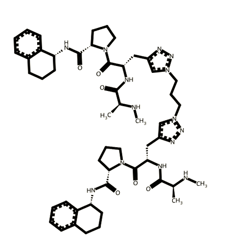 CN[C@@H](C)C(=O)N[C@@H](Cc1cn(CCCn2cc(C[C@H](NC(=O)[C@H](C)NC)C(=O)N3CCC[C@H]3C(=O)N[C@@H]3CCCc4ccccc43)nn2)nn1)C(=O)N1CCC[C@H]1C(=O)N[C@@H]1CCCc2ccccc21